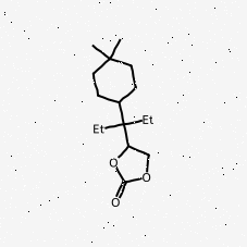 CCC(CC)(C1CCC(C)(C)CC1)C1COC(=O)O1